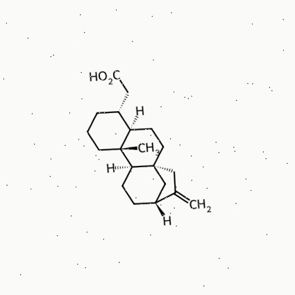 C=C1C[C@@]23CC[C@@H]4[C@@H](CC(=O)O)CCC[C@@]4(C)[C@@H]2CC[C@@H]1C3